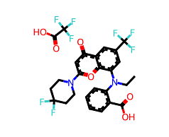 CCN(c1ccccc1C(=O)O)c1cc(C(F)(F)F)cc2c(=O)cc(N3CCC(F)(F)CC3)oc12.O=C(O)C(F)(F)F